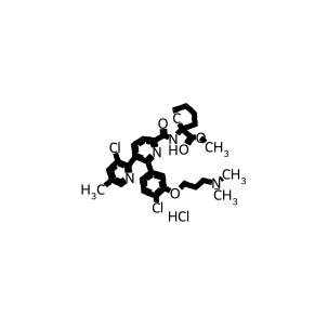 COC(=O)C1(NC(=O)c2ccc(-c3ncc(C)cc3Cl)c(-c3ccc(Cl)c(OCCCN(C)C)c3)n2)CCCCC1.Cl